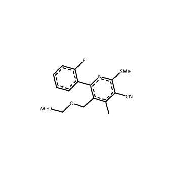 COCOCc1c(-c2ccccc2F)nc(SC)c(C#N)c1C